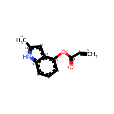 C=CC(=O)Oc1cccc2[nH]c(C)cc12